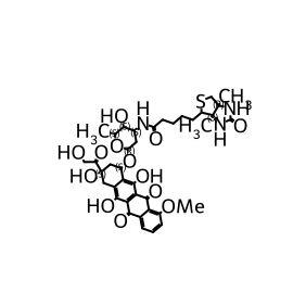 COc1cccc2c1C(=O)c1c(O)c3c(c(O)c1C2=O)C[C@@](O)(C(=O)CO)C[C@@H]3O[C@H]1C[C@H](NC(=O)CCCCC2SC[C@]3(C)NC(=O)N[C@]23C)[C@H](O)[C@H](C)O1